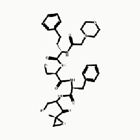 CC(C)CC(NC(=O)[C@H](Cc1ccccc1)NC(=O)[C@@H](CC(C)C)NC(=O)[C@H](CCc1ccccc1)NC(=O)CN1CCOCC1)C(=O)[C@@]1(C)CO1